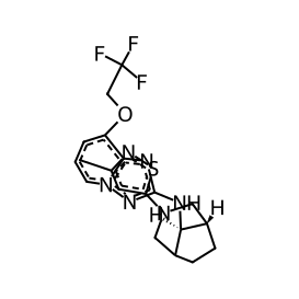 Cc1cc(N2CC3CC[C@@H](C2)[C@@H]3Nc2nc3c(OCC(F)(F)F)cccn3n2)sn1